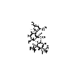 COC1=CC(=O)N[C@]1(CO[C@H](C)c1cc(C(F)(F)F)cc(C(F)(F)F)c1)c1ccc(F)cc1